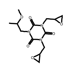 COC(C)Cn1c(=O)n(CC2CO2)c(=O)n(CC2CO2)c1=O